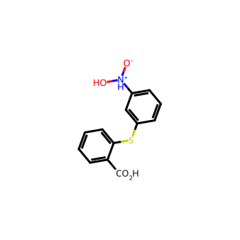 O=C(O)c1ccccc1Sc1cccc([NH+]([O-])O)c1